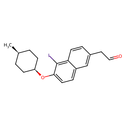 C[C@H]1CC[C@@H](Oc2ccc3cc(CC=O)ccc3c2I)CC1